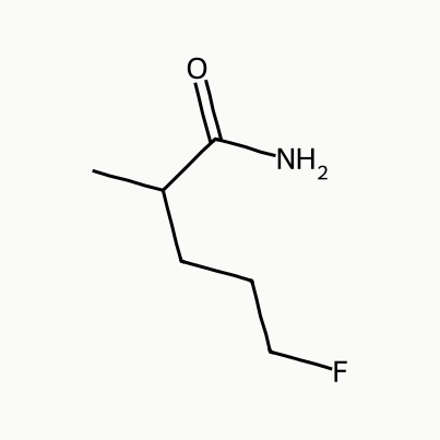 CC(CCCF)C(N)=O